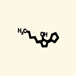 CCCCC=C1CCC(=C2CCCC2)C1O